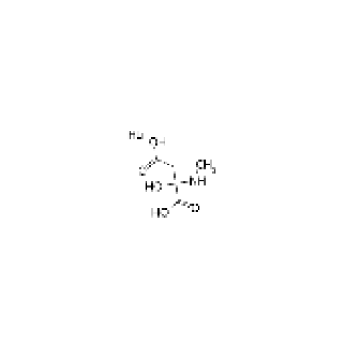 CNC(O)(CC(=O)O)C(=O)O.[LiH]